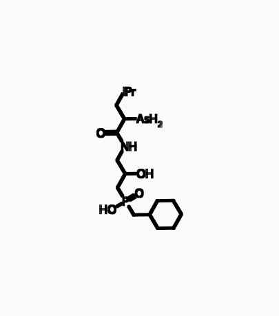 CC(C)CC([AsH2])C(=O)NCC(O)CP(=O)(O)CC1CCCCC1